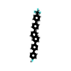 Fc1ccc(-c2ccc(-c3ccc4cc(-c5ccc(-c6ccc(C(F)(F)F)cc6)cc5)ccc4c3)cc2)cc1